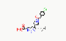 NC(CCCCB(O)O)(C(=O)O)C1CCN(C(=O)Cc2ccc(Cl)cc2)CC1